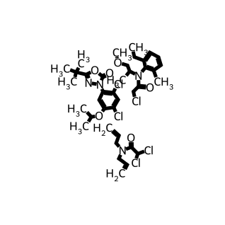 C=CCN(CC=C)C(=O)C(Cl)Cl.CC(C)Oc1cc(-n2nc(C(C)(C)C)oc2=O)c(Cl)cc1Cl.CCc1cccc(C)c1N(C(=O)CCl)C(C)COC